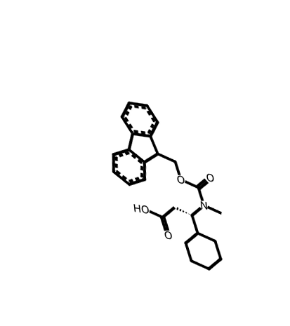 CN(C(=O)OCC1c2ccccc2-c2ccccc21)[C@@H](CC(=O)O)C1CCCCC1